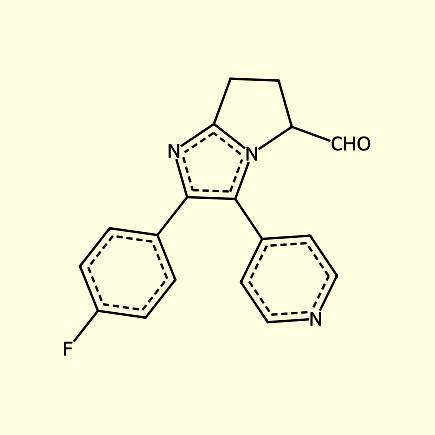 O=CC1CCc2nc(-c3ccc(F)cc3)c(-c3ccncc3)n21